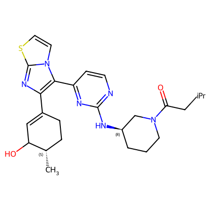 CC(C)CC(=O)N1CCC[C@@H](Nc2nccc(-c3c(C4=CC(O)[C@@H](C)CC4)nc4sccn34)n2)C1